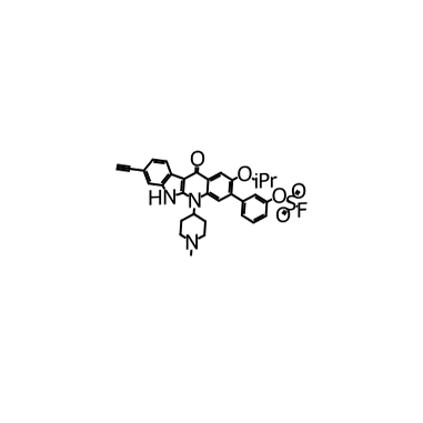 C#Cc1ccc2c(c1)[nH]c1c2c(=O)c2cc(OC(C)C)c(-c3cccc(OS(=O)(=O)F)c3)cc2n1C1CCN(C)CC1